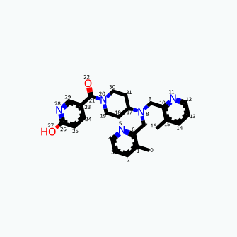 Cc1cccnc1CN(Cc1ncccc1C)C1CCN(C(=O)c2ccc(O)nc2)CC1